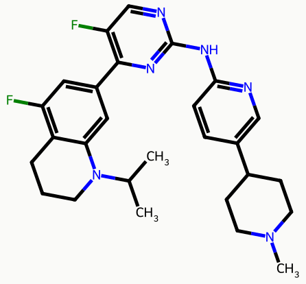 CC(C)N1CCCc2c(F)cc(-c3nc(Nc4ccc(C5CCN(C)CC5)cn4)ncc3F)cc21